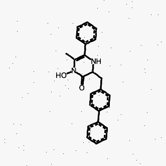 CC1=C(c2ccccc2)NC(Cc2ccc(-c3ccccc3)cc2)C(=O)N1O